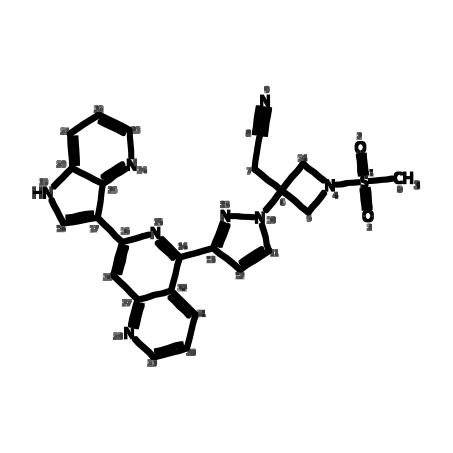 CS(=O)(=O)N1CC(CC#N)(n2ccc(-c3nc(-c4c[nH]c5cccnc45)cc4ncccc34)n2)C1